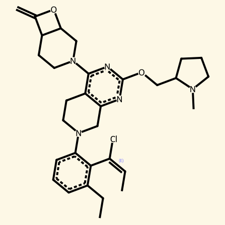 C=C1OC2CN(c3nc(OCC4CCCN4C)nc4c3CCN(c3cccc(CC)c3/C(Cl)=C\C)C4)CCC12